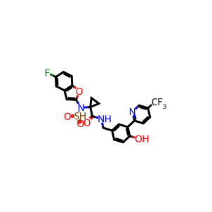 O=C(NCc1ccc(O)c(-c2ccc(C(F)(F)F)cn2)c1)C1(N(c2cc3cc(F)ccc3o2)[SH](=O)=O)CC1